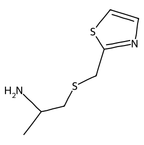 CC(N)CSCc1nccs1